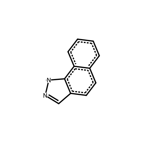 C1=N[N]c2c1ccc1ccccc21